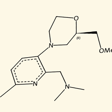 COC[C@H]1CN(c2ccc(C)nc2CN(C)C)CCO1